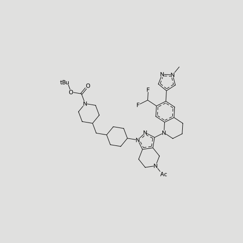 CC(=O)N1CCc2c(c(N3CCCc4cc(-c5cnn(C)c5)c(C(F)F)cc43)nn2C2CCC(CC3CCN(C(=O)OC(C)(C)C)CC3)CC2)C1